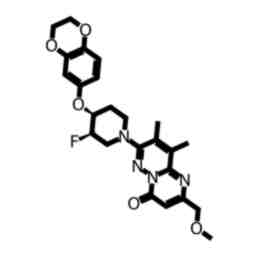 COCc1cc(=O)n2nc(N3CC[C@H](Oc4ccc5c(c4)OCCO5)[C@H](F)C3)c(C)c(C)c2n1